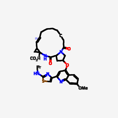 COc1ccc2c(OC3CC4C(=O)NC5(C(=O)O)CC5/C=C/CCCCCCC(=O)N4C3)cc(-c3csc(NC(C)C)n3)nc2c1